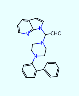 O=CC(N1CCN(c2ccccc2-c2ccccc2)CC1)n1ccc2cccnc21